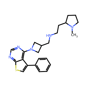 CN1CCCC1CCNCC1CN(c2ncnc3scc(-c4ccccc4)c23)C1